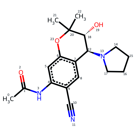 CC(=O)Nc1cc2c(cc1C#N)[C@H](N1CCCC1)[C@@H](O)C(C)(C)O2